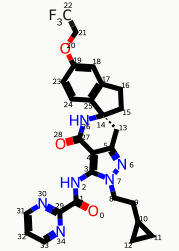 O=C(Nc1c2c(nn1CCC1CC1)C[C@]1(CCc3cc(OCC(F)(F)F)ccc31)NC2=O)c1ncccn1